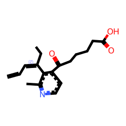 C=C/C=C(/CC)c1c(C(=O)CCCCC(=O)O)ccnc1C